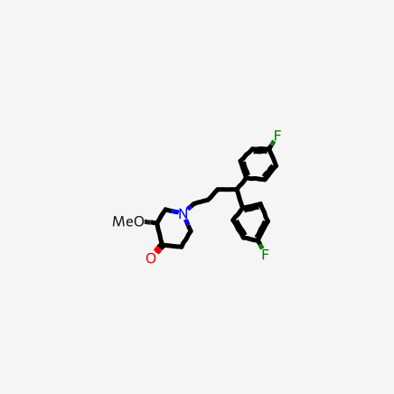 COC1CN(CCCC(c2ccc(F)cc2)c2ccc(F)cc2)CCC1=O